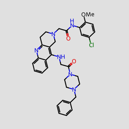 COc1ccc(Cl)cc1NC(=O)CN1CCc2nc3ccccc3c(NCC(=O)N3CCN(Cc4ccccc4)CC3)c2C1